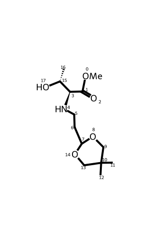 COC(=O)[C@@H](NCCC1OCC(C)(C)CO1)[C@@H](C)O